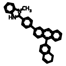 CN1c2ccccc2NC1c1ccc(-c2ccc3c(-c4ccc5c(c4)CCC=C5)c4ccccc4cc3c2)cc1